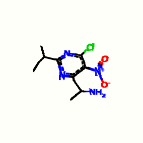 CC(C)c1nc(Cl)c([N+](=O)[O-])c(C(C)N)n1